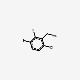 CC(=O)Cc1c(Cl)ccc(I)c1F